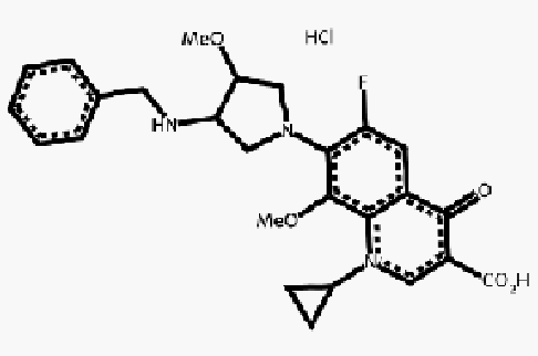 COc1c(N2CC(NCc3ccccc3)C(OC)C2)c(F)cc2c(=O)c(C(=O)O)cn(C3CC3)c12.Cl